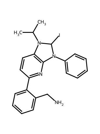 CC(C)N1c2ccc(-c3ccccc3CN)nc2N(c2ccccc2)C1I